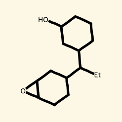 CCC(C1CCCC(O)C1)C1CCC2OC2C1